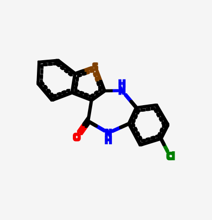 O=C1Nc2cc(Cl)ccc2Nc2sc3ccccc3c21